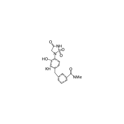 CNC(=O)c1cccc(Cc2ccc(N3CC(=O)NS3(=O)=O)c(O)c2)c1.[KH]